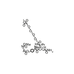 COC(=O)N(C)CCN(C)C(=O)OCc1ccc(NC(=O)[C@H](CCCNC(N)=O)NC(=O)[C@H](NC(=O)CCOCCOCCOCCOCCN2C(=O)CC(C)C2=O)C(C)C)cc1